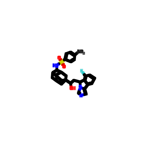 O=[N+]([O-])c1ccc(S(=O)(=O)NC2C3CC4CC2CC(C(O)CC2c5c(F)cccc5-c5cncn52)(C4)C3)cc1